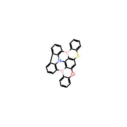 c1ccc2c(c1)Oc1cc3c4c5c1B2c1cccc2c6cccc(c6n-5c12)B4c1ccccc1S3